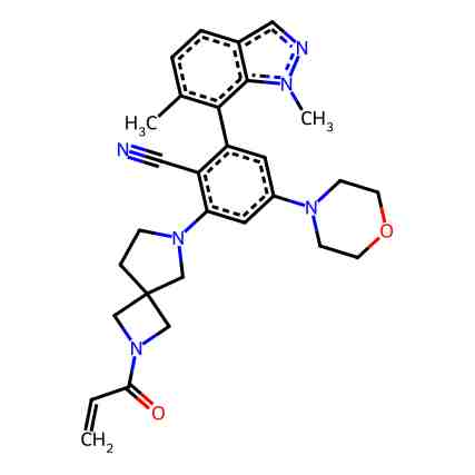 C=CC(=O)N1CC2(CCN(c3cc(N4CCOCC4)cc(-c4c(C)ccc5cnn(C)c45)c3C#N)C2)C1